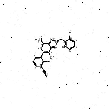 N#Cc1cccc(-c2nc(N)c3nn(Cc4ncccc4F)nc3c2Br)c1F